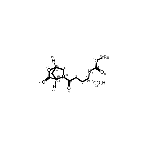 CC(C)(C)OC(=O)N[C@@H](CCC(=O)N1C[C@@H]2C[C@H]1C(=O)O2)C(=O)O